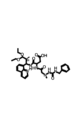 CCOC(OCC)[C@@H](C)C(NC(=O)C(CC(=O)O)NC(=O)CN(C)NC(=O)NCc1ccccc1)c1cccc2cccnc12